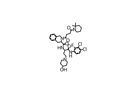 CC1(C)CCCCN1C(=O)CCC(=O)N1Cc2ccccc2CC1C(=O)NC(CCN1CCC(O)CC1)C(=O)Nc1ccc(Cl)c(Cl)c1F